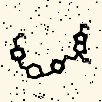 CC1(COc2ccc(CN3CCC(Cc4ccc(OC(F)(F)F)cc4)CC3)cc2)Cn2cc([N+](=O)[O-])nc2O1